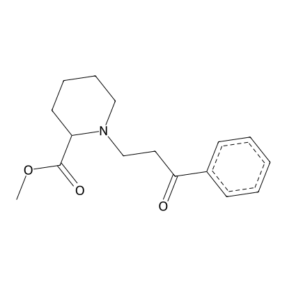 COC(=O)C1CCCCN1CCC(=O)c1ccccc1